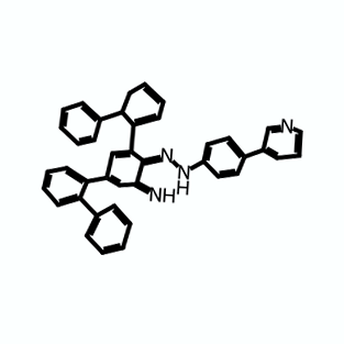 N=C1C=C(c2ccccc2-c2ccccc2)C=C(C2=CC=CCC2c2ccccc2)/C1=N/Nc1ccc(-c2cccnc2)cc1